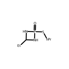 CCCSP1(=O)NC(CC)N1